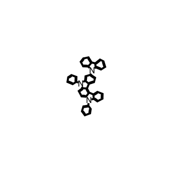 c1ccc(-n2c3ccccc3c3c4c5ccc(-n6c7ccccc7c7ccccc76)cc5n(-c5ccccc5)c4ccc32)cc1